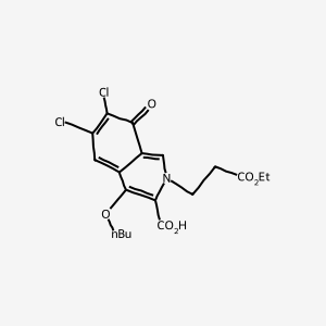 CCCCOc1c2cc(Cl)c(Cl)c(=O)c-2cn(CCC(=O)OCC)c1C(=O)O